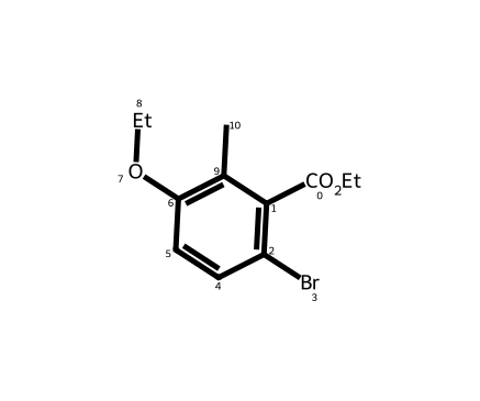 CCOC(=O)c1c(Br)ccc(OCC)c1C